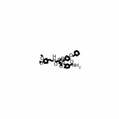 CCOc1cc(CCNC(=O)CC2(C)C(=O)N(c3cccc(C(N)=O)c3)C(c3ccc(OCc4ccccc4)cc3)S2(=O)=O)ccc1OC